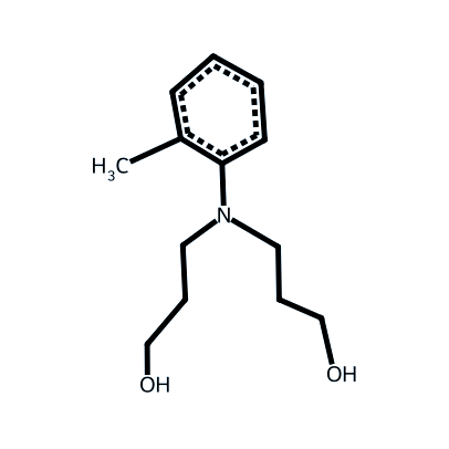 Cc1ccccc1N(CCCO)CCCO